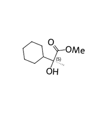 COC(=O)[C@@](C)(O)C1CCCCC1